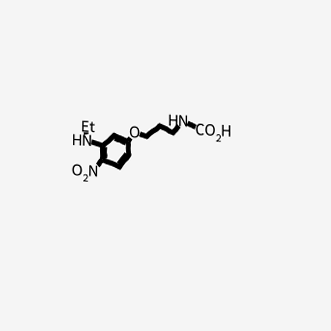 CCNc1cc(OCCCNC(=O)O)ccc1[N+](=O)[O-]